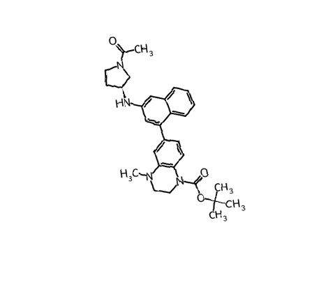 CC(=O)N1CC[C@H](Nc2cc(-c3ccc4c(c3)N(C)CCN4C(=O)OC(C)(C)C)c3ccccc3c2)C1